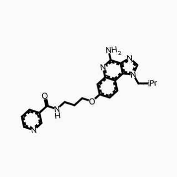 CC(C)Cn1cnc2c(N)nc3cc(OCCCNC(=O)c4cccnc4)ccc3c21